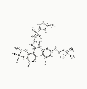 CC(Oc1cc(F)ccc1-c1nc(NS(=O)(=O)c2ccn(C)n2)sc1-c1cc(F)cc(OCCC(C)(C)C)c1)C(F)(F)F